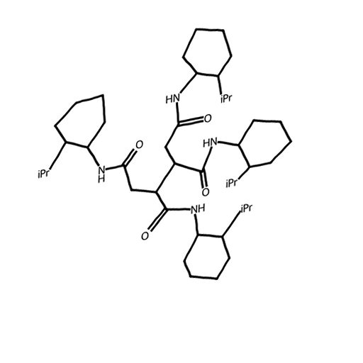 CC(C)C1CCCCC1NC(=O)CC(C(=O)NC1CCCCC1C(C)C)C(CC(=O)NC1CCCCC1C(C)C)C(=O)NC1CCCCC1C(C)C